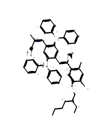 [C-]#[N+]/C(=C\c1cc(N(c2ccccc2)c2ccccc2)c(/C=C(/C)C#N)cc1N(c1ccccc1)c1ccccc1)c1cc(OCC(CC)CCCC)c(C)cc1C